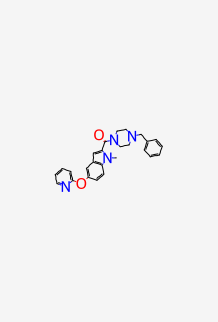 Cn1c(C(=O)N2CCN(Cc3ccccc3)CC2)cc2cc(Oc3ccccn3)ccc21